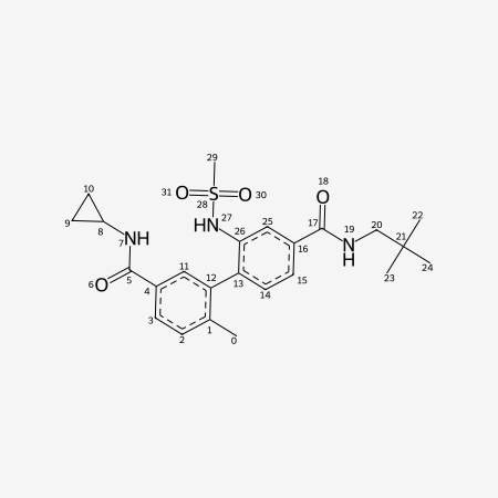 Cc1ccc(C(=O)NC2CC2)cc1-c1ccc(C(=O)NCC(C)(C)C)cc1NS(C)(=O)=O